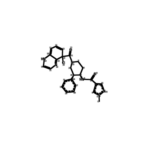 Cn1cc(C(=O)N[C@@H]2CCN(C(=O)C3(Cl)C=CC=C4NC=CN=C43)C[C@@H]2c2ccccc2)cn1